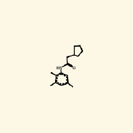 Cc1cc(C)c(C)c(NC(=O)CC2CCCC2)c1